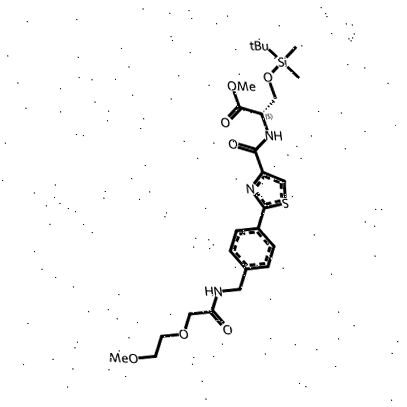 COCCOCC(=O)NCc1ccc(-c2nc(C(=O)N[C@@H](CO[Si](C)(C)C(C)(C)C)C(=O)OC)cs2)cc1